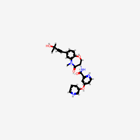 CN1C(=O)[C@@H](NC(=O)c2cc(Oc3cccnc3)ccn2)COc2ccc(C#CC(C)(C)O)cc21